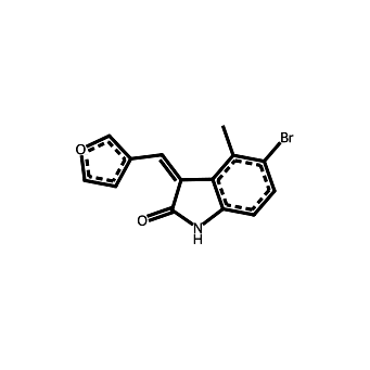 Cc1c(Br)ccc2c1C(=Cc1ccoc1)C(=O)N2